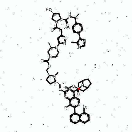 CCc1cccc2cccc(-c3ncc4c(N5CC6CCC(C5)N6C(=O)OC(C)(C)C)nc(OC[C@@H]5CC[C@@H](COC(=O)N6CCN(c7cc([C@H](C(=O)N8C[C@H](O)C[C@H]8C(=O)N[C@@H](C)c8ccc(-c9scnc9C)cc8)C(C)C)on7)[C@H](C)C6)N5C)nc4c3F)c12